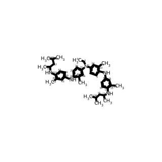 CCN(c1ccc(Nc2ccc(NC(C)CC(C)C)c(C)c2)c(C)c1)c1ccc(Nc2ccc(NC(C)CC(C)C)c(C)c2)c(C)c1